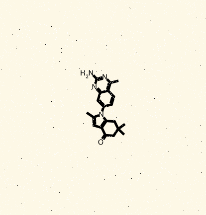 Cc1nc(N)nc2cc(-n3c(C)cc4c3CC(C)(C)CC4=O)ccc12